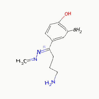 Bc1cc(/C(CCCN)=N/N=C)ccc1O